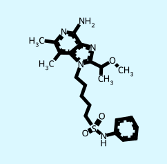 COC(C)c1nc2c(N)nc(C)c(C)c2n1CCCCCS(=O)(=O)Nc1ccccc1